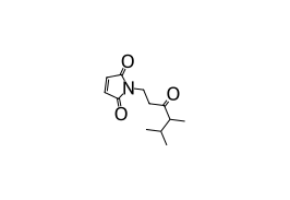 CC(C)C(C)C(=O)CCN1C(=O)C=CC1=O